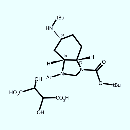 CC(=O)N1CN(C(=O)OC(C)(C)C)[C@H]2CC[C@@H](NC(C)(C)C)C[C@H]21.O=C(O)C(O)C(O)C(=O)O